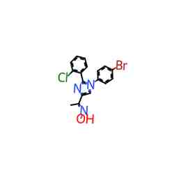 CC(=NO)c1cn(-c2ccc(Br)cc2)c(-c2ccccc2Cl)n1